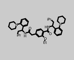 CCOc1cc(CC(=O)NC(CC(C)C)c2ccccc2N2CCCCC2)ccc1C(=O)NC(CC(C)C)c1ccccc1N1CCCCC1